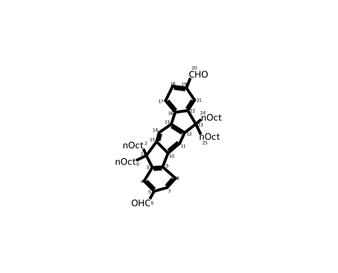 CCCCCCCCC1(CCCCCCCC)c2cc(C=O)ccc2-c2cc3c(cc21)-c1ccc(C=O)cc1C3(CCCCCCCC)CCCCCCCC